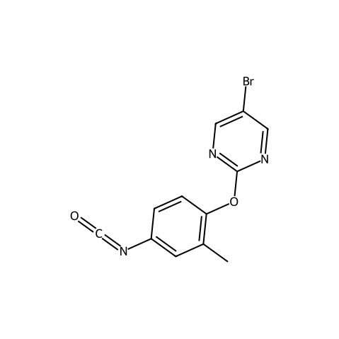 Cc1cc(N=C=O)ccc1Oc1ncc(Br)cn1